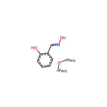 CCCCCOCCCCC.ON=Cc1ccccc1O